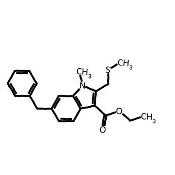 CCOC(=O)c1c(CSC)n(C)c2cc(Cc3ccccc3)ccc12